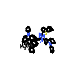 C[Si]1(C)c2ccccc2-c2ccc3c(-c4nc(-c5ccc6c(c5)c5ccccc5n6-c5ccccc5)nc(-c5cccc6c5sc5ccccc56)n4)cc4c(c5ccccc5n4-c4ccccc4)c3c21